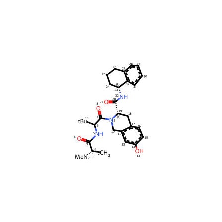 CN[C@@H](C)C(=O)NC(C(=O)N1Cc2cc(O)ccc2C[C@H]1C(=O)N[C@@H]1CCCc2ccccc21)C(C)(C)C